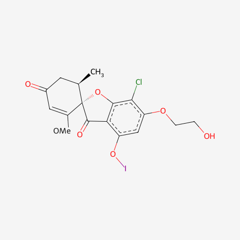 COC1=CC(=O)C[C@@H](C)[C@]12Oc1c(Cl)c(OCCO)cc(OI)c1C2=O